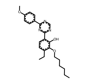 CCCCCCOc1c(CC)ccc(-c2ncnc(-c3ccc(OC)cc3)n2)c1O